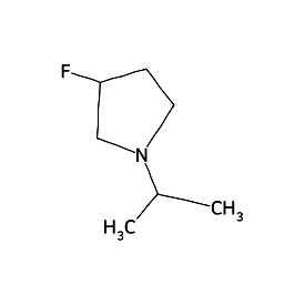 CC(C)N1CCC(F)C1